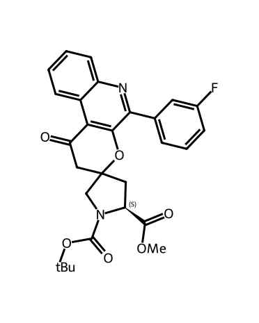 COC(=O)[C@@H]1CC2(CC(=O)c3c(c(-c4cccc(F)c4)nc4ccccc34)O2)CN1C(=O)OC(C)(C)C